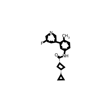 Cc1ccc(NC(=O)[C@H]2C[C@@H](C3CC3)C2)cc1-c1cncc(F)c1